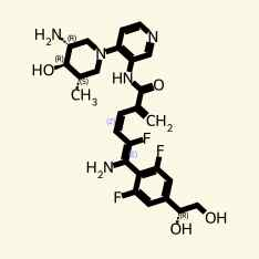 C=C(/C=C\C(F)=C(/N)c1c(F)cc([C@@H](O)CO)cc1F)C(=O)Nc1cnccc1N1C[C@@H](N)[C@H](O)[C@@H](C)C1